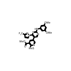 COC(=O)c1cc(-c2cnc(Nc3cc(OC)cc(OC)c3)nc2-n2ccc(C(F)(F)F)n2)cnc1SC